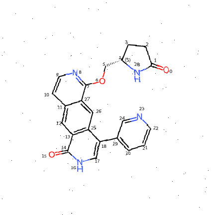 O=C1CC[C@@H](COc2nccc3cc4c(=O)[nH]cc(-c5cccnc5)c4cc23)N1